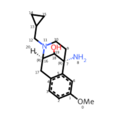 COc1ccc2c(c1)[C@]1(N)CCN(CC3CC3)[C@H](C2)C1O